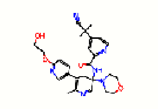 CC1=C(c2ccc(OCCO)nc2)CC(NC(=O)c2cc(C(C)(C)C#N)ccn2)(N2CCOCC2)C=N1